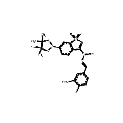 COc1cc(/C=N/N(C2=NS(=O)(=O)c3cc(B4OC(C)(C)C(C)(C)O4)ccc32)C(C)C)ccc1F